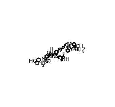 COc1cc(CN2CCN(C3CC4(C3)CN(c3ccc(C(=O)NS(=O)(=O)c5ccc(NC[C@H]6CC[C@](C)(O)CC6)c([N+](=O)[O-])c5)c(Oc5cnc6[nH]cc(F)c6c5)c3)C4)[C@H](c3ccccc3C(C)C)C2)ccc1C